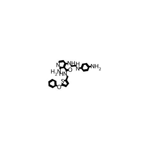 Nc1ccc(NCCNc2ccnc(N)c2C(=O)NCc2ccc(Oc3ccccc3)s2)cc1